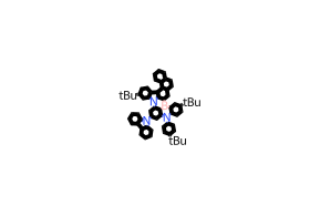 CC(C)(C)c1ccc(N2c3ccc(C(C)(C)C)cc3B3c4c2cc(-n2c5ccccc5c5ccccc52)cc4-n2c4cc(C(C)(C)C)ccc4c4c5c(ccc6ccccc65)cc3c42)cc1